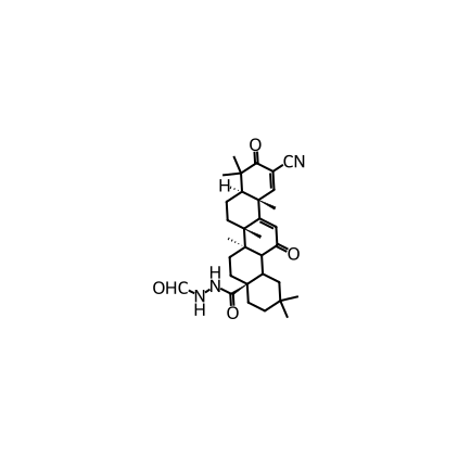 CC1(C)CC[C@]2(C(=O)NNC=O)CC[C@]3(C)C(C(=O)C=C4[C@@]5(C)C=C(C#N)C(=O)C(C)(C)[C@@H]5CC[C@]43C)C2C1